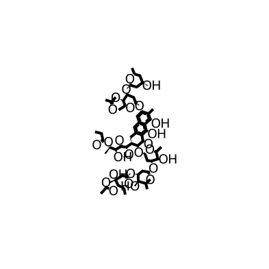 CCC(=O)O[C@H](C)[C@H](O)C(=O)[C@@H](OC)[C@@H]1Cc2cc3cc(O[C@H]4C[C@@H](O[C@H]5C[C@@H](O)CC(C)O5)[C@@H](OC(C)=O)C(C)O4)c(C)c(O)c3c(O)c2C(=O)[C@H]1O[C@H]1C[C@@H](O[C@H]2C[C@@H](O[C@H]3C[C@@](C)(O)[C@@H](OC(C)=O)C(C)O3)[C@H](O)C(C)O2)[C@H](O)C(C)O1